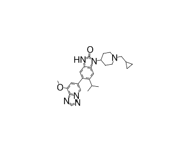 COc1cc(-c2cc3[nH]c(=O)n(C4CCN(CC5CC5)CC4)c3cc2C(C)C)cn2ncnc12